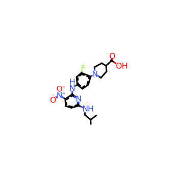 CC(C)CNc1ccc([N+](=O)[O-])c(Nc2ccc(N3CCC(C(=O)O)CC3)c(F)c2)n1